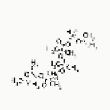 CC(C)OC(C)COC(=O)C(C)(C)OCOC(C)(C)COC(C)(C)C(=O)OCC(C)OC(C)C